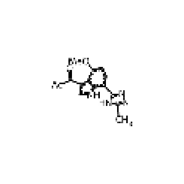 COc1ccc(-c2nnc(C)[nH]2)c2[nH]cc(C(=O)C(C)=O)c12